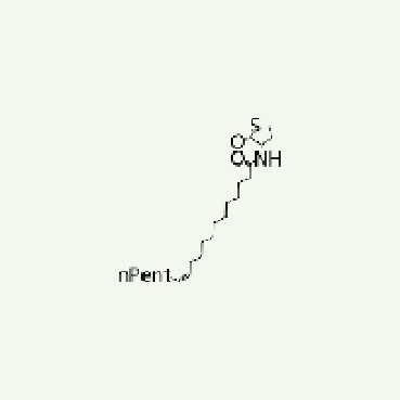 CCCCC/C=C\C/C=C/CCCCCCCC(=O)N[C@H]1CCSC1=O